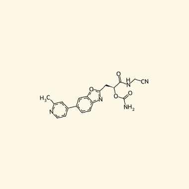 Cc1cc(-c2ccc3nc(C[C@H](OC(N)=O)C(=O)NCC#N)oc3c2)ccn1